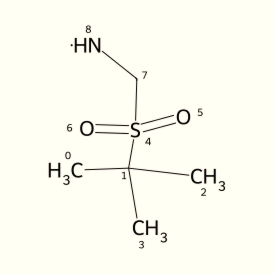 CC(C)(C)S(=O)(=O)C[NH]